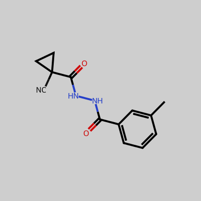 Cc1cccc(C(=O)NNC(=O)C2(C#N)CC2)c1